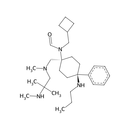 CCCN[C@]1(c2ccccc2)CC[C@](CN(C)CC(C)(C)NC)(N(C=O)CC2CCC2)CC1